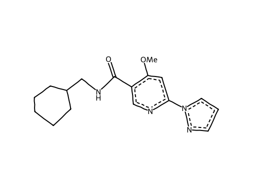 COc1cc(-n2cccn2)ncc1C(=O)NCC1CCCCC1